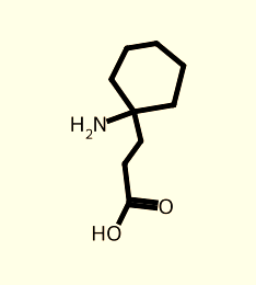 NC1(CCC(=O)O)CCCCC1